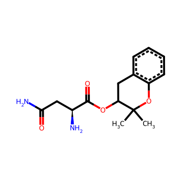 CC1(C)Oc2ccccc2CC1OC(=O)[C@@H](N)CC(N)=O